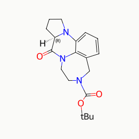 CC(C)(C)OC(=O)N1CCN2C(=O)[C@H]3CCCN3c3cccc(c32)C1